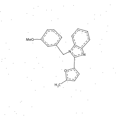 COc1cccc(Cn2c(-c3ccc(C)o3)nc3ccccc32)c1